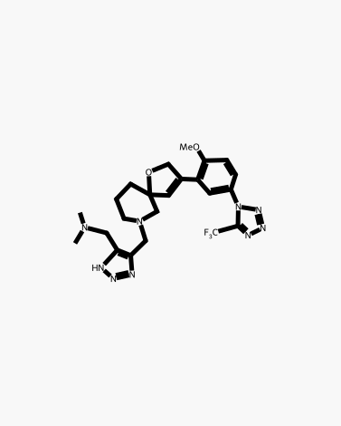 COc1ccc(-n2nnnc2C(F)(F)F)cc1C1=CC2(CCCN(Cc3nn[nH]c3CN(C)C)C2)OC1